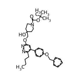 CCCCc1nnc(OCC2(O)CCN(C(=O)OC(C)(C)C)CC2)cc1-c1ccc(OCc2ccccc2)cc1